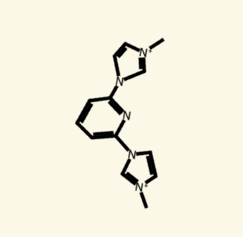 C[n+]1ccn(-c2cccc(-n3cc[n+](C)c3)n2)c1